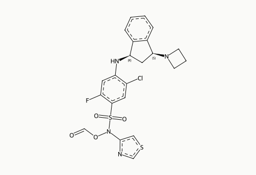 O=CON(c1cscn1)S(=O)(=O)c1cc(Cl)c(N[C@@H]2C[C@H](N3CCC3)c3ccccc32)cc1F